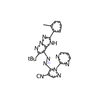 [C-]#[N+]c1cnn(-c2ncccn2)c1/N=N/c1c(C(C)(C)C)nn2nc(-c3ccccc3C)[nH]c12